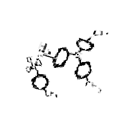 Cc1ccc(S(=O)(=O)[O-])cc1.Cc1ccc([S+](c2ccc(C)cc2)c2ccc(C)cc2)cc1